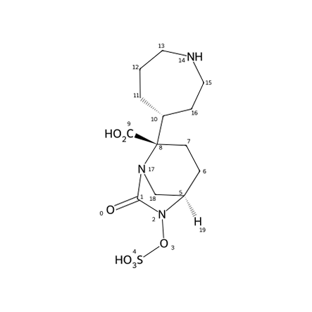 O=C1N(OS(=O)(=O)O)[C@@H]2CC[C@@](C(=O)O)([C@@H]3CCCNCC3)N1C2